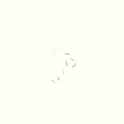 Cc1c(C[C@@H](N)[C@H](C)F)sc2c(NCc3nccs3)cc(Cl)nc12